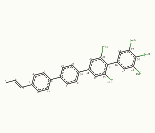 C/C=C/c1ccc(-c2ccc(-c3cc(F)c(-c4cc(F)c(F)c(F)c4)c(F)c3)cc2)cc1